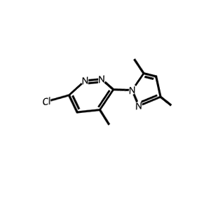 Cc1cc(C)n(-c2nnc(Cl)cc2C)n1